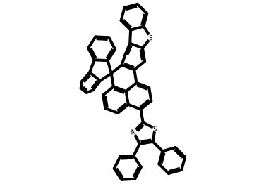 c1ccc(-c2nc(-c3ccc4c5c(cccc35)C3(c5ccccc5-c5ccccc53)c3cc5c(cc3-4)sc3ccccc35)sc2-c2ccccc2)cc1